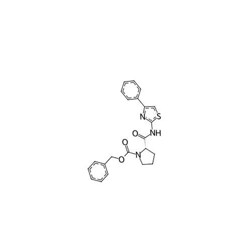 O=C(Nc1nc(-c2ccccc2)cs1)[C@@H]1CCCN1C(=O)OCc1ccccc1